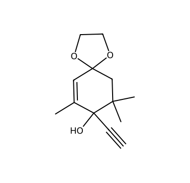 C#CC1(O)C(C)=CC2(CC1(C)C)OCCO2